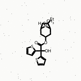 CCC1CC2CC(OC(=O)C(O)(c3cccs3)c3cccs3)CC1[N+]2(C)C